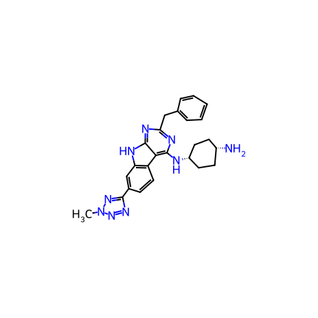 Cn1nnc(-c2ccc3c(c2)[nH]c2nc(Cc4ccccc4)nc(N[C@H]4CC[C@@H](N)CC4)c23)n1